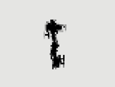 Cc1sc2c(c1C)C(c1ccc(Cl)cc1)=N[C@@H](CC(=O)NCCCCCN1CCN(c3cccc(CC(=O)NC4CCC(=O)NC4=O)c3)CC1)c1nnc(C)n1-2